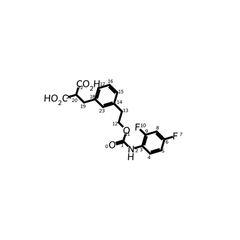 O=C(Nc1ccc(F)cc1F)OCCc1cccc(CC(C(=O)O)C(=O)O)c1